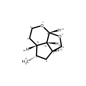 C[C@H]1C[C@H]2CO[C@H]3OCC[C@@H]1[C@@H]23